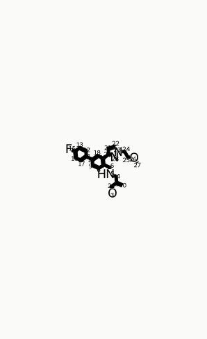 C=C(C=O)CNCc1ccc(-c2ccc(F)cc2)cc1-c1ccn(CCOC)n1